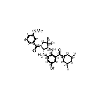 CNc1cncc(C(=O)N2C[C@H](Nc3c(N)cc(Br)cc3C(=O)N3C[C@H](C)C[C@H](C)C3)C(F)(F)C2)c1